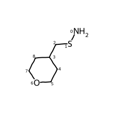 NSCC1CCOCC1